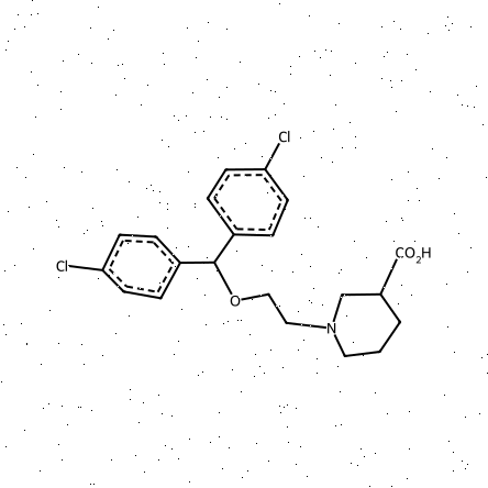 O=C(O)C1CCCN(CCOC(c2ccc(Cl)cc2)c2ccc(Cl)cc2)C1